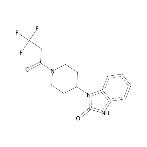 O=C(CC(F)(F)F)N1CCC(n2c(=O)[nH]c3ccccc32)CC1